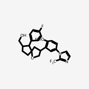 COc1ccc(-n2ccnc2C(F)(F)F)cc1C1COC2(CCC(CO)C2c2ccc(F)cc2)C1